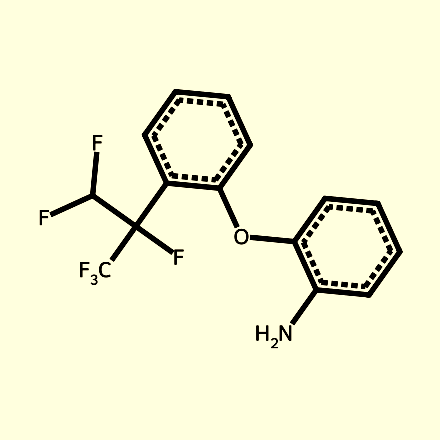 Nc1ccccc1Oc1ccccc1C(F)(C(F)F)C(F)(F)F